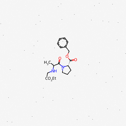 CCOC(=O)CNC(C)C(=O)N1CCC[C@H]1C(=O)OCc1ccccc1